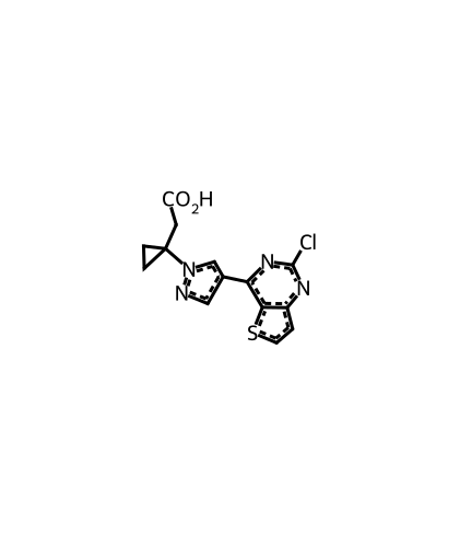 O=C(O)CC1(n2cc(-c3nc(Cl)nc4ccsc34)cn2)CC1